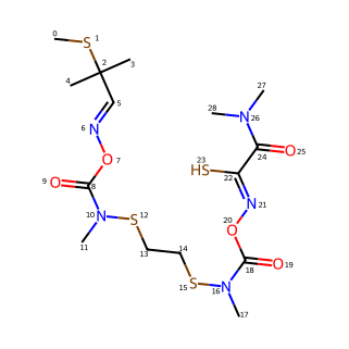 CSC(C)(C)C=NOC(=O)N(C)SCCSN(C)C(=O)ON=C(S)C(=O)N(C)C